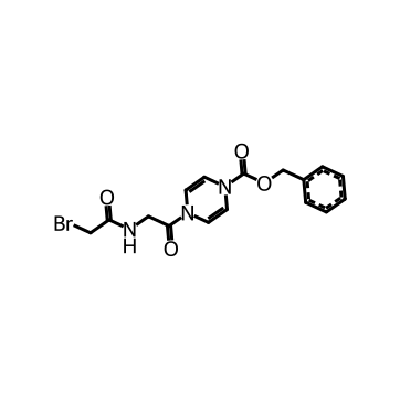 O=C(CBr)NCC(=O)N1C=CN(C(=O)OCc2ccccc2)C=C1